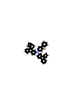 c1ccc2c(c1)-c1ccc(N(c3ccc4c(c3)C3(c5ccccc5-4)C4CCC5CC3CC5C4)c3ccc4c(c3)oc3ccccc34)cc1C21CCCC1